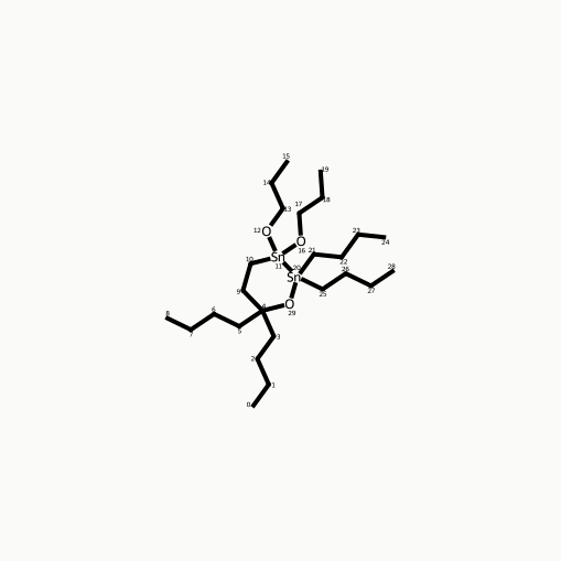 CCCCC1(CCCC)C[CH2][Sn]([O]CCC)([O]CCC)[Sn]([CH2]CCC)([CH2]CCC)[O]1